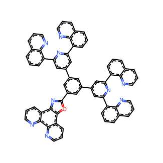 c1cnc2c(-c3cc(-c4cc(-c5cc(-c6cccc7cccnc67)nc(-c6cccc7cccnc67)c5)cc(-c5nc6c7cccnc7c7ncccc7c6o5)c4)cc(-c4cccc5cccnc45)n3)cccc2c1